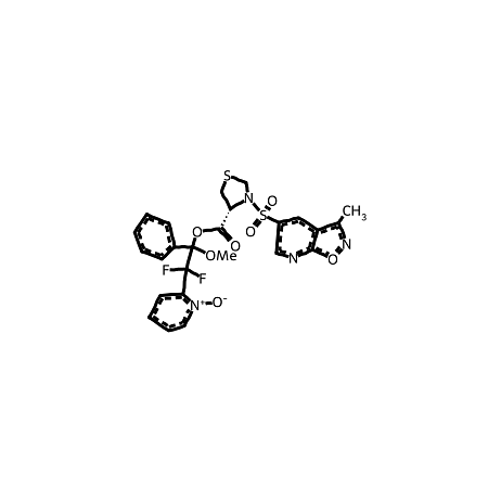 COC(OC(=O)[C@@H]1CSCN1S(=O)(=O)c1cnc2onc(C)c2c1)(c1ccccc1)C(F)(F)c1cccc[n+]1[O-]